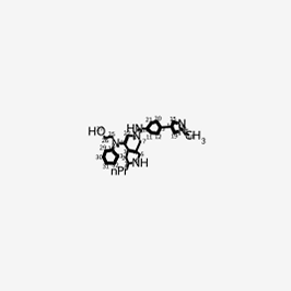 CCCC1CC2=C(CN1)CN(Nc1ccc(-c3cnn(C)c3)cc1)C=C2N(CCO)c1ccccc1